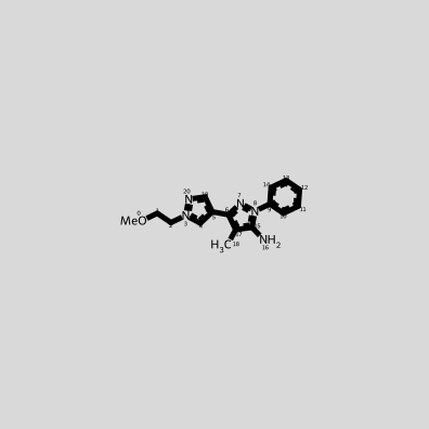 COCCn1cc(-c2nn(-c3ccccc3)c(N)c2C)cn1